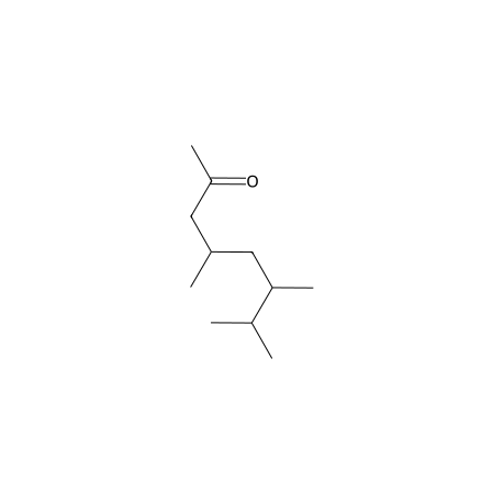 CC(=O)CC(C)CC(C)C(C)C